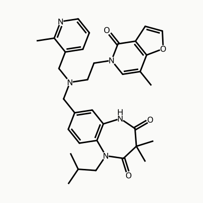 Cc1ncccc1CN(CCn1cc(C)c2occc2c1=O)Cc1ccc2c(c1)NC(=O)C(C)(C)C(=O)N2CC(C)C